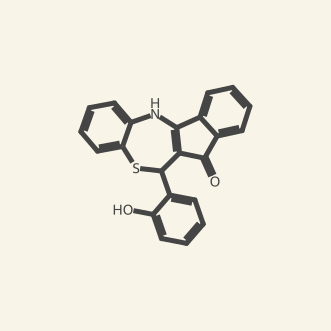 O=C1C2=C(Nc3ccccc3SC2c2ccccc2O)c2ccccc21